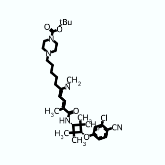 C=N/C(=C\C=C(/C)C(=O)N[C@H]1C(C)(C)[C@H](Oc2ccc(C#N)c(Cl)c2)C1(C)C)CCCCCN1CCN(C(=O)OC(C)(C)C)CC1